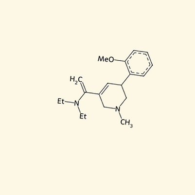 C=C(C1=CC(c2ccccc2OC)CN(C)C1)N(CC)CC